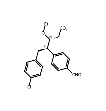 CCO[C@H](CC(=O)O)[C@H](Cc1ccc(Cl)cc1)c1ccc(C=O)cc1